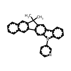 CC1(C)c2cc3ccccc3cc2-c2cc3c(cc21)c1ccccc1n3-c1cccnc1